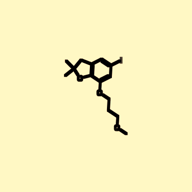 COCCCOc1cc(I)cc2c1OC(C)(C)C2